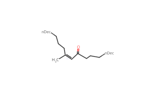 CCCCCCCCCCCCCC(=O)/C=C(/C)CCCCCCCCCCCCC